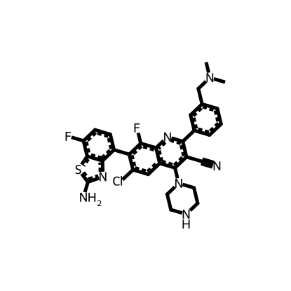 CN(C)Cc1cccc(-c2nc3c(F)c(-c4ccc(F)c5sc(N)nc45)c(Cl)cc3c(N3CCNCC3)c2C#N)c1